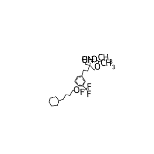 CC1(C)OCC(CO)(CCc2ccc(OCCCCC3CCCCC3)c(C(F)(F)F)c2)NO1